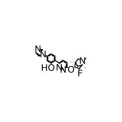 CN1C[C@@]2(C)C[C@]1(C)[C@H](F)[C@@H]2Oc1ccc(-c2ccc(-n3ccnc3)cc2O)nn1